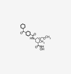 COCOCC(CC(C)C(=O)NO)NC(=O)c1ccc(C(=O)c2ccccc2)cc1